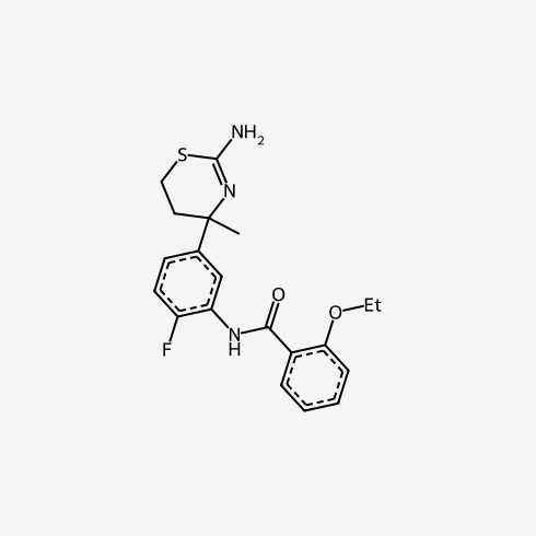 CCOc1ccccc1C(=O)Nc1cc(C2(C)CCSC(N)=N2)ccc1F